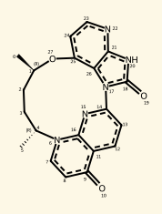 C[C@@H]1CC[C@@H](C)n2ccc(=O)c3ccc(nc32)-n2c(=O)[nH]c3nccc(c32)O1